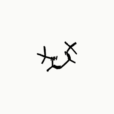 CC(=CC(C)=NC(C)(C)C)NC(C)(C)C